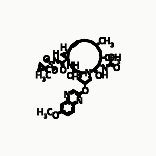 COc1ccc2nc(O[C@@H]3C[C@H]4C(=O)N[C@]5(C(=O)NS(=O)(=O)C6(C)CC6)C[C@H]5/C=C\CC[C@@H](C)C[C@@H](C)[C@H](NC(=O)O)C(=O)N4C3)cnc2c1